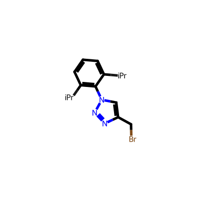 CC(C)c1cccc(C(C)C)c1-n1cc(CBr)nn1